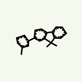 Cc1cccc(-c2ccc3c(c2)C(C)(C)c2ccccc2-3)c1